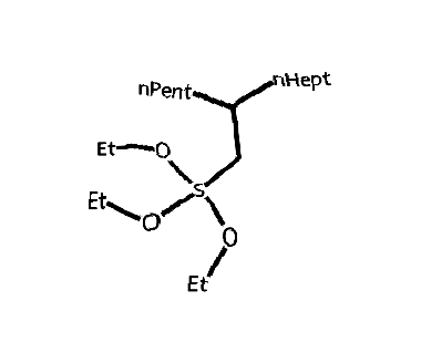 CCCCCCCC(CCCCC)CS(OCC)(OCC)OCC